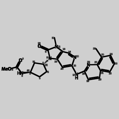 COC(=O)N[C@@H]1CC[C@@H](n2c(=O)n(C)c3cnc(Nc4ccc5cccc(C)c5n4)cc32)C1